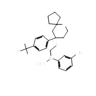 Cc1cccc(N(C)CC[C@@]2(c3ccc(C(F)(F)F)cc3)CCOC3(CCCC3)C2)c1